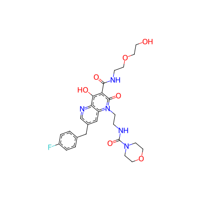 O=C(NCCOCCO)c1c(O)c2ncc(Cc3ccc(F)cc3)cc2n(CCNC(=O)N2CCOCC2)c1=O